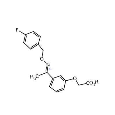 C/C(=N\OCc1ccc(F)cc1)c1cccc(OCC(=O)O)c1